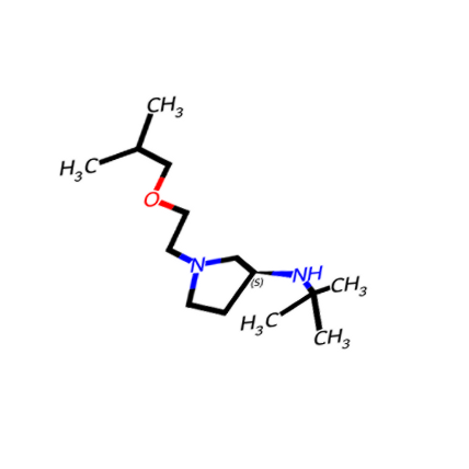 CC(C)COCCN1CC[C@H](NC(C)(C)C)C1